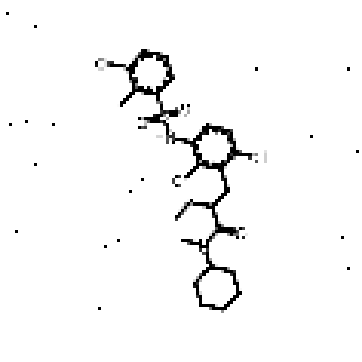 CCC(Cc1c(Cl)ccc(NS(=O)(=O)c2cccc(Cl)c2C)c1Cl)C(=O)N(C)C1CCCCC1